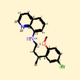 COc1ccc(Br)cc1C(C)CCNc1cccc2cccnc12